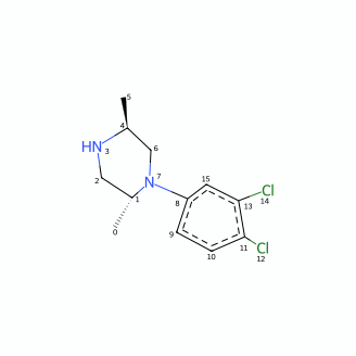 C[C@@H]1CN[C@@H](C)CN1c1ccc(Cl)c(Cl)c1